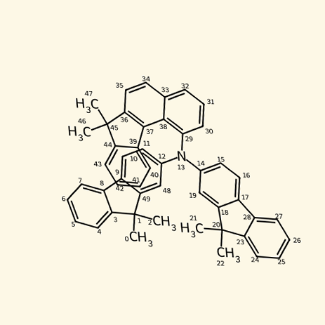 CC1(C)c2ccccc2-c2ccc(N(c3ccc4c(c3)C(C)(C)c3ccccc3-4)c3cccc4ccc5c(c34)-c3ccccc3C5(C)C)cc21